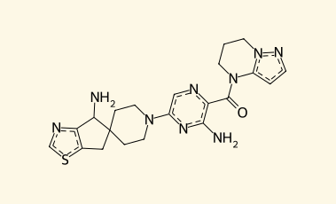 Nc1nc(N2CCC3(CC2)Cc2scnc2C3N)cnc1C(=O)N1CCCn2nccc21